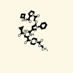 CCOC(=O)N1CCN(C(=O)C(CNC(=O)C2CC2)NC(=O)c2cc(OCC(=O)N3CCCC3C(=O)NC3CCC3)n(-c3ccccc3)n2)CC1